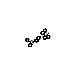 c1ccc(-c2nc(-c3ccc4cc(-n5c6ccc7cccc8oc9cccc%10ccc5c(c%109)c6c78)ccc4c3)nc3ccccc23)cc1